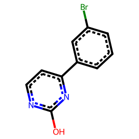 Oc1nccc(-c2cccc(Br)c2)n1